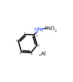 O=[N+]([O-])Nc1ccccc1.[Al]